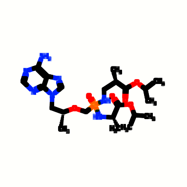 CC(C)OC(=O)[C@H](C)CNP(=O)(CO[C@H](C)Cn1cnc2c(N)ncnc21)N[C@@H](C)C(=O)OC(C)C